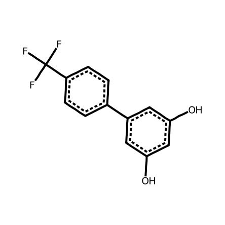 Oc1cc(O)cc(-c2ccc(C(F)(F)F)cc2)c1